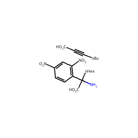 CCCCC#CC(=O)O.CCCCCCC(N)(C(=O)O)c1ccc([N+](=O)[O-])cc1[N+](=O)[O-]